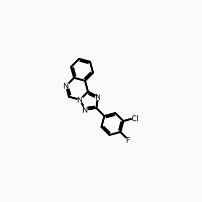 Fc1ccc(-c2nc3c4ccccc4ncn3n2)cc1Cl